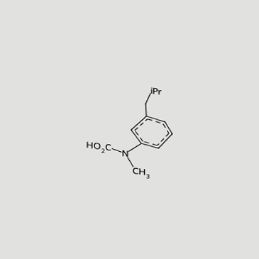 CC(C)Cc1cccc(N(C)C(=O)O)c1